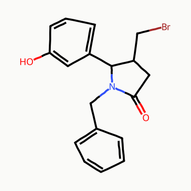 O=C1CC(CBr)C(c2cccc(O)c2)N1Cc1ccccc1